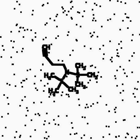 C#CCCN(S(C)(C)C)S(C)(C)C